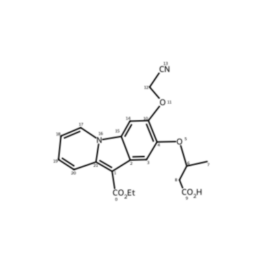 CCOC(=O)c1c2cc(OC(C)CC(=O)O)c(OCC#N)cc2n2ccccc12